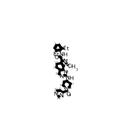 CCc1cccc(CC)c1NC(=O)c1nn(C)c2c1CCc1cnc(NC3CCN(C(=O)c4ccncn4)CC3)nc1-2